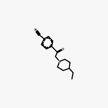 CCC1CCN(CC(=O)c2ccc(C#N)cc2)CC1